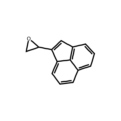 C1=C(C2CO2)c2cccc3cccc1c23